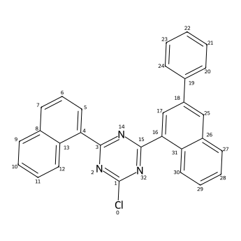 Clc1nc(-c2cccc3ccccc23)nc(-c2cc(-c3ccccc3)cc3ccccc23)n1